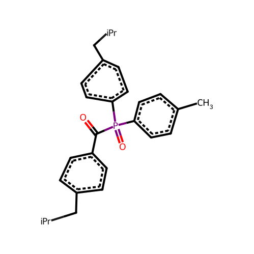 Cc1ccc(P(=O)(C(=O)c2ccc(CC(C)C)cc2)c2ccc(CC(C)C)cc2)cc1